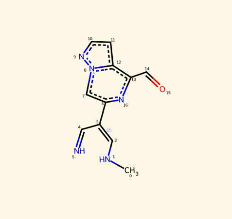 CN/C=C(\C=N)c1cn2nccc2c(C=O)n1